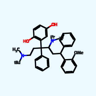 COc1ccccc1C(CC(N(C(C)C)C(C)C)C(CCN(C)C(C)(C)C)(c1ccccc1)c1cc(O)ccc1O)c1ccccc1